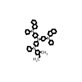 C=Cc1ccc(N(c2ccccc2)c2ccc(N(c3ccc(N(c4ccccc4)c4ccc5ccccc5c4)cc3)c3ccc(N(c4ccccc4)c4ccc5ccccc5c4)cc3)cc2)cc1C